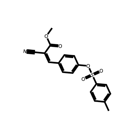 COC(=O)C(C#N)=Cc1ccc(OS(=O)(=O)c2ccc(C)cc2)cc1